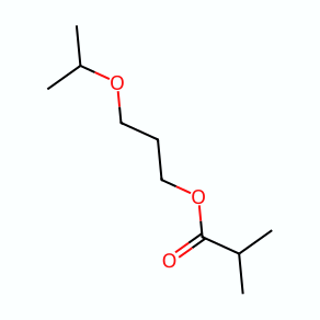 CC(C)OCCCOC(=O)C(C)C